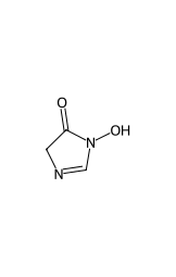 O=C1CN=CN1O